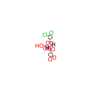 COc1ccc(C2OC[C@@H]3OC(c4ccc(Cl)c(Cl)c4)O[C@H]([C@H](O)CO)[C@@H]3O2)cc1OC